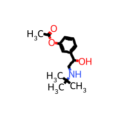 CC(=O)Oc1cccc(C(O)CNC(C)(C)C)c1